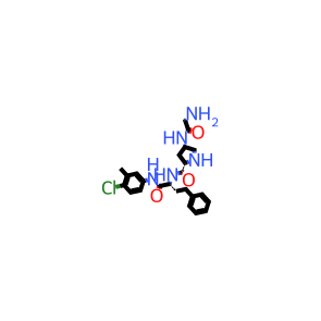 Cc1cc(NC(=O)[C@@H](CCc2ccccc2)NC(=O)[C@@H]2C[C@@H](NC(=O)CN)CN2)ccc1Cl